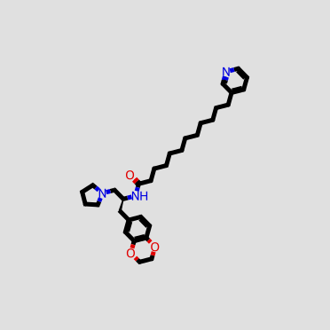 O=C(CCCCCCCCCCCc1cccnc1)N[C@@H](Cc1ccc2c(c1)OCCO2)CN1CCCC1